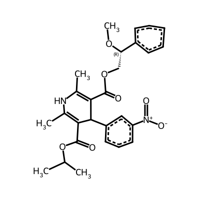 CO[C@@H](COC(=O)C1=C(C)NC(C)=C(C(=O)OC(C)C)C1c1cccc([N+](=O)[O-])c1)c1ccccc1